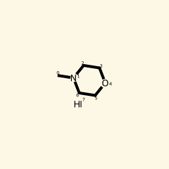 CN1CCOCC1.I